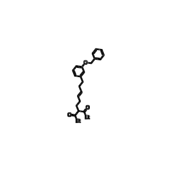 CCC(=O)C(CCC=CCCc1cccc(OCc2ccccc2)c1)C(=O)CC